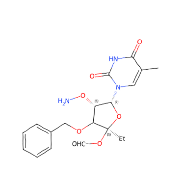 CC[C@@]1(OC=O)O[C@@H](n2cc(C)c(=O)[nH]c2=O)[C@@H](ON)C1OCc1ccccc1